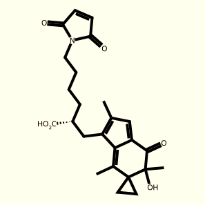 CC1=C(C[C@@H](CCCCN2C(=O)C=CC2=O)C(=O)O)C2=C(C)C3(CC3)C(C)(O)C(=O)C2=C1